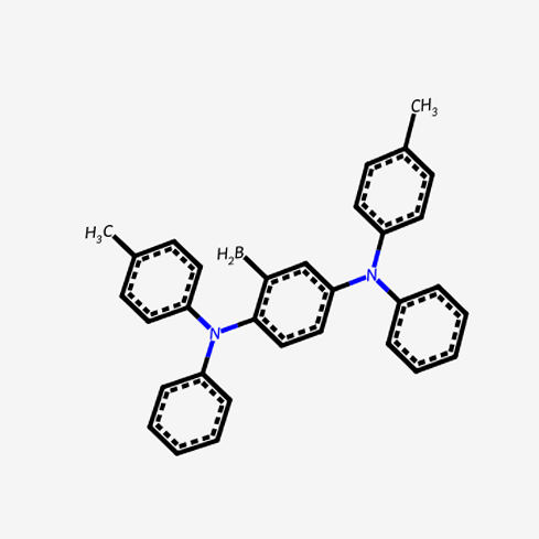 Bc1cc(N(c2ccccc2)c2ccc(C)cc2)ccc1N(c1ccccc1)c1ccc(C)cc1